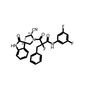 N#C[C@@H]1C[C@@]2(CN1C(=O)C(F)(Cc1ccccc1)C(=O)Nc1cc(F)cc(F)c1)C(=O)Nc1ccccc12